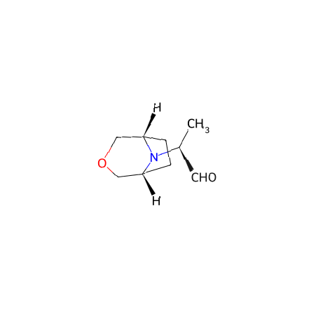 C[C@@H](C=O)N1[C@@H]2CC[C@H]1COC2